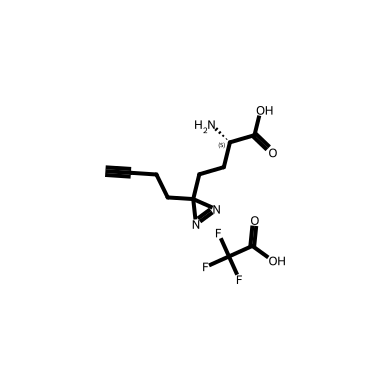 C#CCCC1(CC[C@H](N)C(=O)O)N=N1.O=C(O)C(F)(F)F